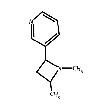 CC1CC(c2cccnc2)N1C